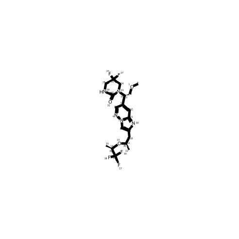 COC[C@H](c1cnn2cc(C[C@@H](C)O[C@H](C)C(F)(F)F)nc2c1)N1CC(F)(F)CNC1=O